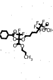 CCCOC(=O)C(OCCCCC(F)(F)C(F)(F)S(=O)(=O)O)(OC(=O)C1CCCCC1)C(F)(F)F